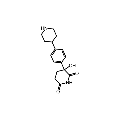 O=C1CCC(O)(c2ccc(C3CCNCC3)cc2)C(=O)N1